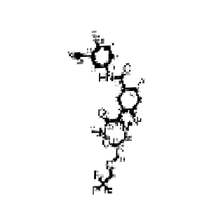 C[C@@H]1Cc2nn3c(c2CC1C(=O)Nc1ccc(F)c(C#N)c1)C(=O)N(C)O[C@H](COCC(F)(F)F)C3